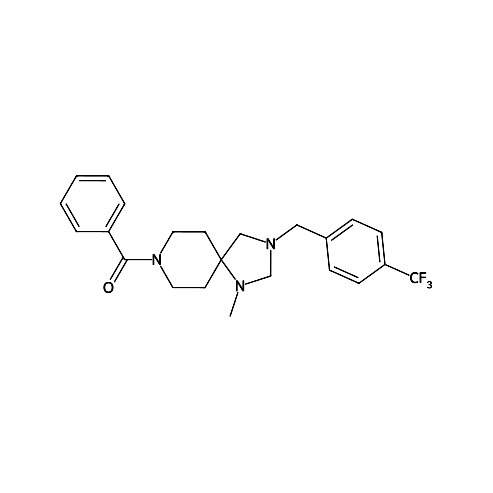 CN1CN(Cc2ccc(C(F)(F)F)cc2)CC12CCN(C(=O)c1ccccc1)CC2